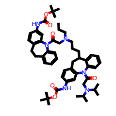 CCCN(CCCC1Cc2ccc(NC(=O)OC(C)(C)C)cc2N(C(=O)CN(C(C)C)C(C)C)c2ccccc21)CC(=O)N1c2ccccc2CCc2ccc(NC(=O)OC(C)(C)C)cc21